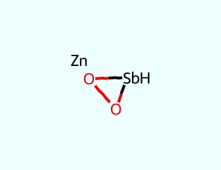 [O]1[O][SbH]1.[Zn]